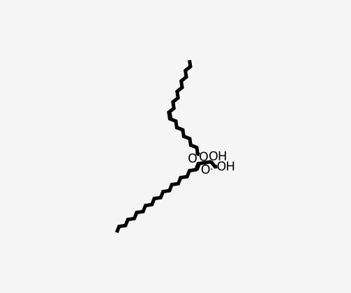 CCCCCCCCCC/C=C\CCCCCCCC(=O)OC([O])(C=CCCCCCCCCCCCCCCCCCC)C(O)CO